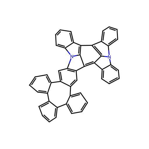 c1ccc2c(c1)-c1ccccc1-c1cc3c4c5c6ccccc6n6c7ccccc7c(c7c8ccccc8n(c3cc1-c1ccccc1-2)c74)c56